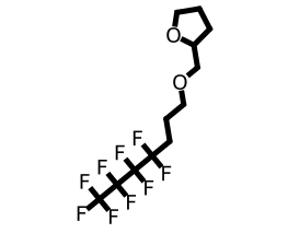 FC(F)(F)C(F)(F)C(F)(F)C(F)(F)CCCOCC1CCCO1